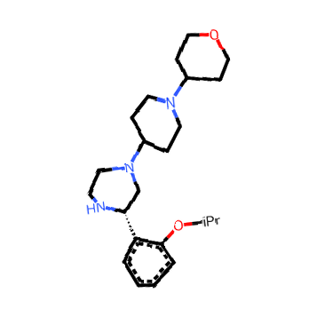 CC(C)Oc1ccccc1[C@H]1CN(C2CCN(C3CCOCC3)CC2)CCN1